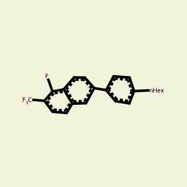 CCCCCCc1ccc(-c2ccc3c(F)c(C(F)(F)F)ccc3c2)cc1